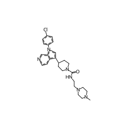 CN1CCN(CCNC(=O)N2CCC(c3cn(-c4ccc(Cl)cc4)c4cnccc34)CC2)CC1